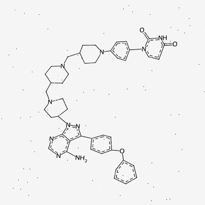 Nc1ncnc2c1c(-c1ccc(Oc3ccccc3)cc1)nn2C1CCN(CC2CCN(CC3CCN(c4ccc(-n5ccc(=O)[nH]c5=O)cc4)CC3)CC2)CC1